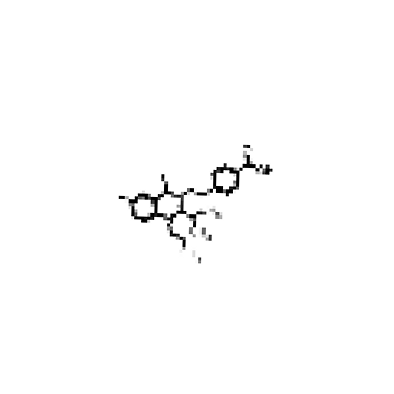 CCCN(CC(C)C)c1ccc(Cl)cc1C(=O)NCCc1ccc(C(=O)O)cc1